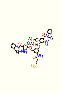 COc1cc2c(cc1OCc1cc(COc3cc4c(cc3OC)C(=O)N3c5ccccc5C[C@H]3CN4)cc(NC(=O)CCCS)c1)NC[C@@H]1Cc3ccccc3N1C2=O